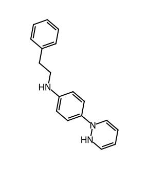 C1=CNN(c2ccc(NCCc3ccccc3)cc2)C=C1